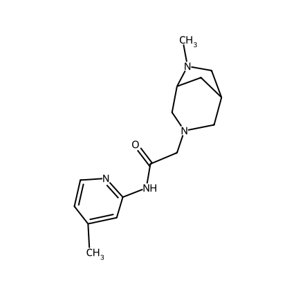 Cc1ccnc(NC(=O)CN2CC3CC(C2)N(C)C3)c1